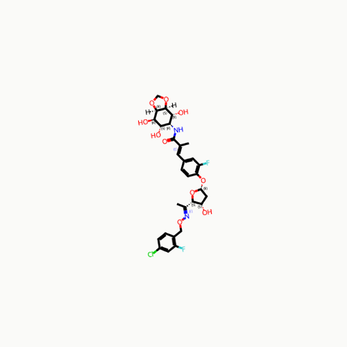 C/C(=C\c1ccc(O[C@@H]2C[C@H](O)[C@H](/C(C)=N/OCc3ccc(Cl)cc3F)O2)c(F)c1)C(=O)N[C@@H]1[C@H](O)[C@@H](O)[C@H]2OCO[C@H]2[C@@H]1O